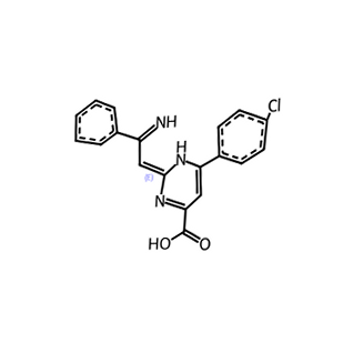 N=C(/C=C1/N=C(C(=O)O)C=C(c2ccc(Cl)cc2)N1)c1ccccc1